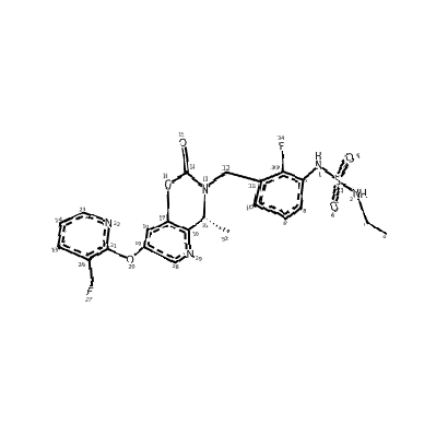 CCNS(=O)(=O)Nc1cccc(CN2C(=O)Oc3cc(Oc4ncccc4F)cnc3[C@H]2C)c1F